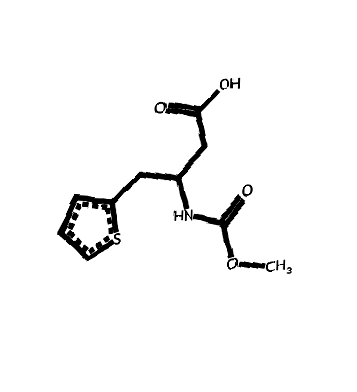 COC(=O)NC(CC(=O)O)Cc1cccs1